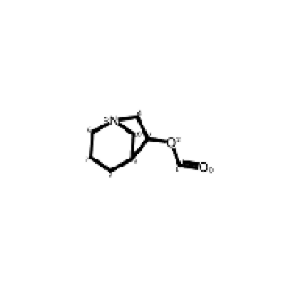 O=COC1CN2CCCC1C2